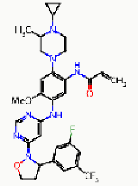 C=CC(=O)Nc1cc(Nc2cc(N3OCCC3c3cc(F)cc(C(F)(F)F)c3)ncn2)c(OC)cc1N1CCN(C2CC2)C(C)C1